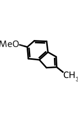 COc1ccc2c(c1)CC(C)=C2